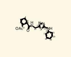 CC(=O)Oc1ccccc1C(=O)NCc1nnc(Nc2ccccc2)s1